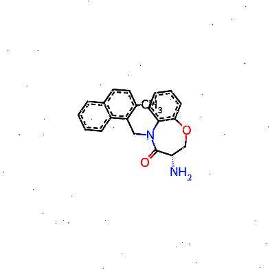 Cc1ccc2ccccc2c1CN1C(=O)[C@@H](N)COc2ccccc21